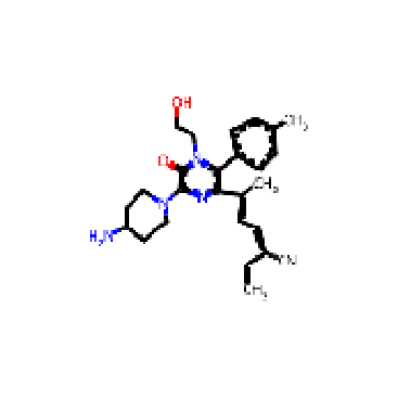 C=C/C(C#N)=C\C=C(/C)c1nc(N2CCC(N)CC2)c(=O)n(CCO)c1-c1ccc(C)cc1